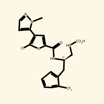 Cn1nccc1-c1cc(C(=O)N[C@@H](CNC(=O)O)Cc2ccccc2C(F)(F)F)sc1Cl